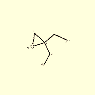 [CH2]CC1(CC)CO1